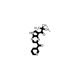 CC(C)(C)C(=O)c1c[nH]c2ncc(C(=O)c3cccnc3)nc12